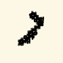 O=C(Cc1ccccn1)Nc1nnc(CCCCn2ccc(NC(=O)CC3CCCC3)c(F)c2=O)s1